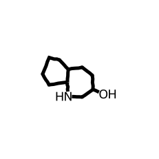 OC1CCC2CCCCC2NC1